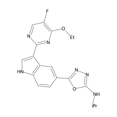 CCOc1nc(-c2c[nH]c3ccc(-c4nnc(NC(C)C)o4)cc23)ncc1F